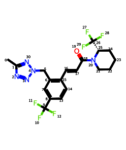 Cc1nnn(Cc2cc(C(F)(F)F)ccc2/C=C/C(=O)N2CCCC[C@H]2C(F)(F)F)n1